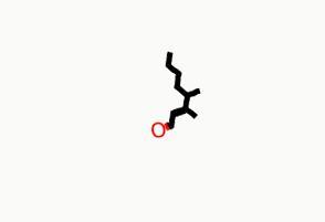 CCCCC(C)/C(C)=C/C=O